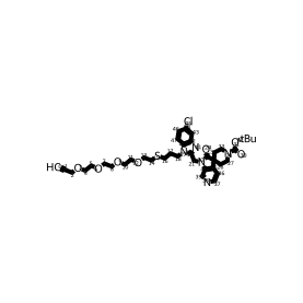 C#CCOCCOCCOCCOCCSCCCn1c(CN2C(=O)C3(CCN(C(=O)OC(C)(C)C)CC3)c3ccncc32)nc2cc(Cl)ccc21